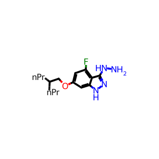 CCCC(CCC)COc1cc(F)c2c(NN)n[nH]c2c1